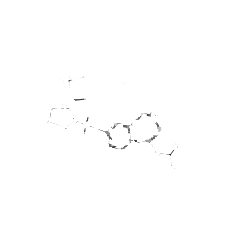 CC(C)(C)OC(=O)[C@H]1CCCN1S(=O)(=O)c1ccc2c(N(Br)C(=N)N)cncc2c1.Cl